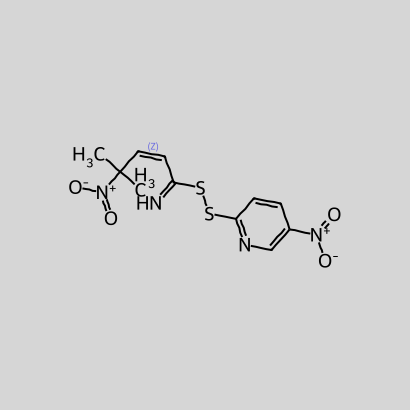 CC(C)(/C=C\C(=N)SSc1ccc([N+](=O)[O-])cn1)[N+](=O)[O-]